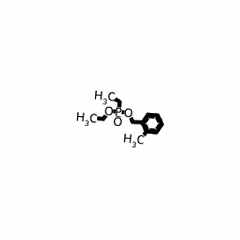 CCOP(=O)(CC)OCc1ccccc1C